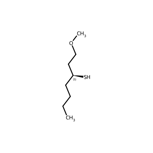 CCCC[C@H](S)CCOC